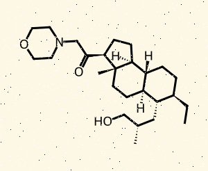 CC[C@@H]1CC[C@@H]2[C@H](CC[C@]3(C)[C@@H](C(=O)CN4CCOCC4)CC[C@@H]23)[C@H]1C[C@H](C)CO